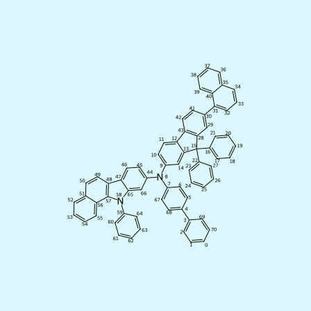 c1ccc(-c2ccc(N(c3ccc4c(c3)C(c3ccccc3)(c3ccccc3)c3cc(-c5cccc6ccccc56)ccc3-4)c3ccc4c5ccc6ccccc6c5n(-c5ccccc5)c4c3)cc2)cc1